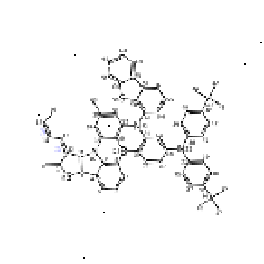 C=c1sc2c3cccc4c3n(c2/c1=C/C=C\C)-c1cc(C)cc2c1B4c1ccc(N(c3ccc(C(C)(C)C)cc3)c3ccc(C(C)(C)C)cc3)cc1N2c1cccc2c1sc1ccccc12